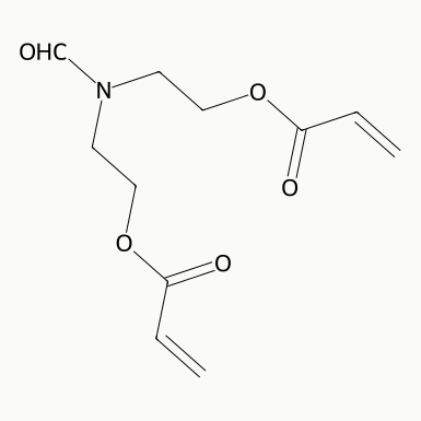 C=CC(=O)OCCN(C=O)CCOC(=O)C=C